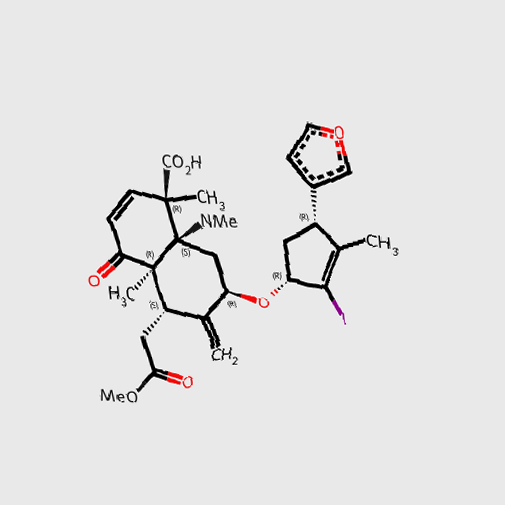 C=C1[C@H](O[C@@H]2C[C@H](c3ccoc3)C(C)=C2I)C[C@@]2(NC)[C@](C)(C(=O)O)C=CC(=O)[C@]2(C)[C@H]1CC(=O)OC